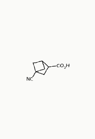 N#CC12CC(C1)C(C(=O)O)C2